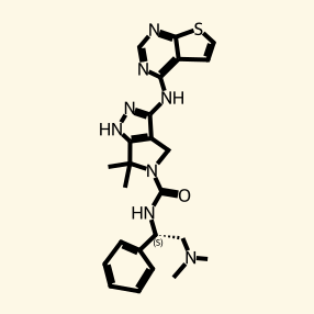 CN(C)C[C@@H](NC(=O)N1Cc2c(Nc3ncnc4sccc34)n[nH]c2C1(C)C)c1ccccc1